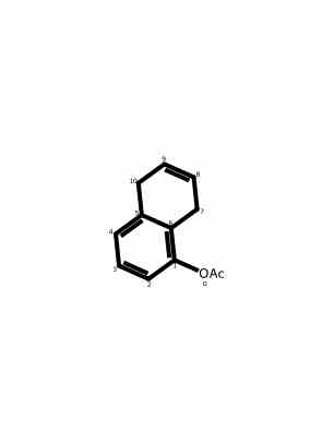 CC(=O)Oc1cccc2c1CC=CC2